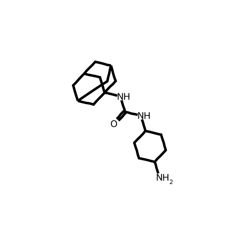 NC1CCC(NC(=O)NC23CC4CC(CC(C4)C2)C3)CC1